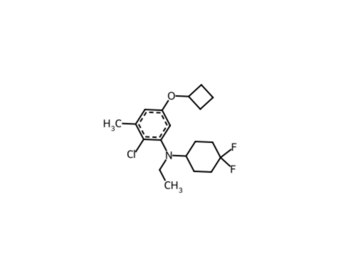 CCN(c1cc(OC2CCC2)cc(C)c1Cl)C1CCC(F)(F)CC1